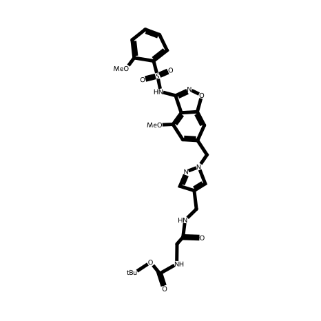 COc1ccccc1S(=O)(=O)Nc1noc2cc(Cn3cc(CNC(=O)CNC(=O)OC(C)(C)C)cn3)cc(OC)c12